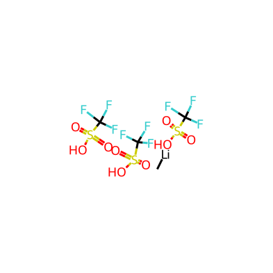 O=S(=O)(O)C(F)(F)F.O=S(=O)(O)C(F)(F)F.O=S(=O)(O)C(F)(F)F.[Li][CH3]